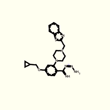 N=C(/N=N\N)c1ccc(OCC2CC2)cc1N1CCN(Cc2nc3ccccc3s2)CC1